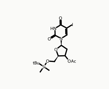 CC(=O)OC1C[C@H](n2cc(I)c(=O)[nH]c2=O)O[C@@H]1CO[Si](C)(C)C(C)(C)C